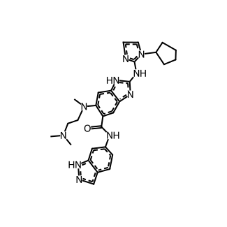 CN(C)CCN(C)c1cc2[nH]c(Nc3nccn3C3CCCC3)nc2cc1C(=O)Nc1ccc2cn[nH]c2c1